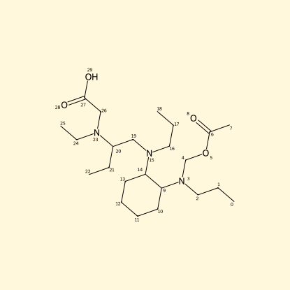 CCCN(COC(C)=O)C1CCCCC1N(CCC)CC(CC)N(CC)CC(=O)O